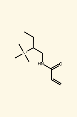 C=CC(=O)NCC(CC)[N+](C)(C)C